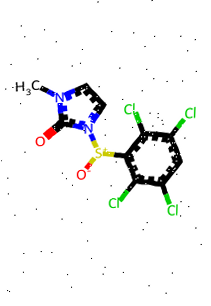 Cn1ccn([S+]([O-])c2c(Cl)c(Cl)cc(Cl)c2Cl)c1=O